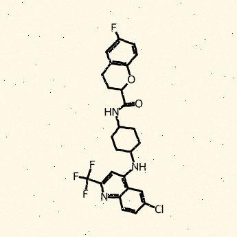 O=C(NC1CCC(Nc2cc(C(F)(F)F)nc3ccc(Cl)cc23)CC1)C1CCc2cc(F)ccc2O1